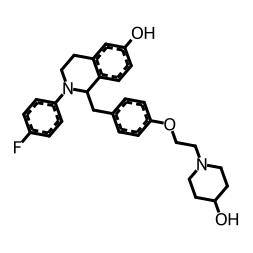 Oc1ccc2c(c1)CCN(c1ccc(F)cc1)C2Cc1ccc(OCCN2CCC(O)CC2)cc1